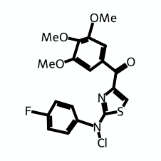 COc1cc(C(=O)c2csc(N(Cl)c3ccc(F)cc3)n2)cc(OC)c1OC